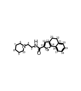 O=C(NCCN1CCCCC1)c1cc2c(s1)-c1ccccc1CC2